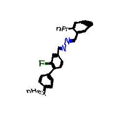 CCCCCCc1ccc(-c2ccc(C=NN=Cc3ccccc3CCC)cc2F)cc1